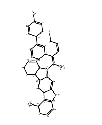 C/C(=C(\C=C/CI)C1C=C(C2CC=C(C#N)C=N2)C=CC1)N1C2C=CCCC2C2CC3C(=CC21)OC1=C3C(C)CC=C1